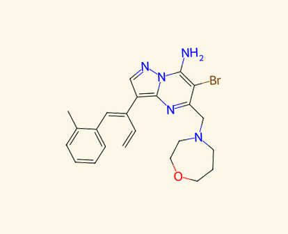 C=C/C(=C\c1ccccc1C)c1cnn2c(N)c(Br)c(CN3CCCOCC3)nc12